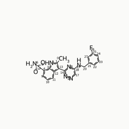 Cc1[nH]c2c(S(N)(=O)=O)cccc2c1-c1nncc(NCc2cccc(F)c2)n1